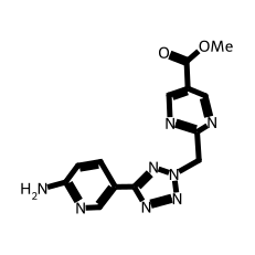 COC(=O)c1cnc(Cn2nnc(-c3ccc(N)nc3)n2)nc1